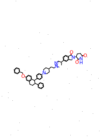 CC(/C=N\N(C)CCC1CCN(c2ccc(C3c4ccc(OCc5ccccc5)cc4CCC3c3ccccc3)cc2)CC1)c1ccc2c(c1)CN(C1CCC(=O)NC1=O)C2=O